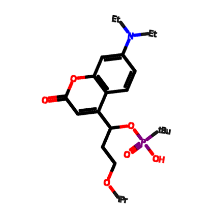 CCN(CC)c1ccc2c(C(CCOC(C)C)OP(=O)(O)C(C)(C)C)cc(=O)oc2c1